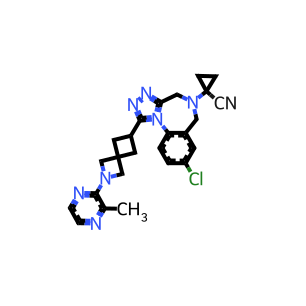 Cc1nccnc1N1CC2(CC(c3nnc4n3-c3ccc(Cl)cc3CN(C3(C#N)CC3)C4)C2)C1